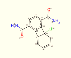 NC(=O)c1ccc(C(N)=O)c2c1C1=CC=CCC12Cl